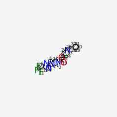 C[C@@H]1CN(c2ncc(C(F)(F)F)cn2)[C@@H](C)CN1C(=O)OC1(C)CCN(Cc2ccccc2)CC1